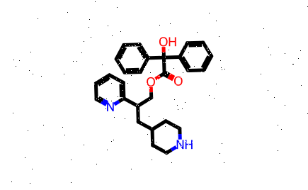 O=C(OCC(CC1CCNCC1)c1ccccn1)C(O)(c1ccccc1)c1ccccc1